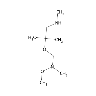 CNCC(C)(C)OCN(C)OC